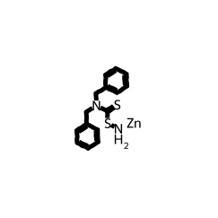 NSC(=S)N(Cc1ccccc1)Cc1ccccc1.[Zn]